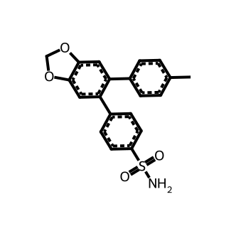 Cc1ccc(-c2cc3c(cc2-c2ccc(S(N)(=O)=O)cc2)OCO3)cc1